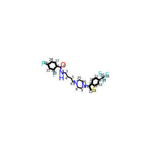 O=C(NCCCCN1CCN(c2csc3cc(C(F)(F)F)ccc23)CC1)c1ccc(F)cc1F